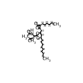 CCCCCCCCCCCC(C[C@H]1OC(=O)[C@H]1CCCCCC)OC(=O)[C@H](CC(C)C)NC=O